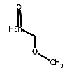 CO[CH2][SnH]=[O]